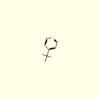 CC(O)(F)c1ccncc1